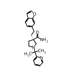 CC(C)(c1ccccn1)N1CC[C@@](CCc2ccc3ccoc3c2)(C(N)=O)C1